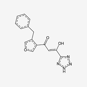 O=C(C=C(O)c1nn[nH]n1)c1cocc1Cc1ccccc1